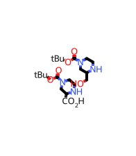 CC(C)(C)OC(=O)N1CCNC(C(=O)O)C1.CC(C)(C)OC(=O)N1CCNC(CO)C1